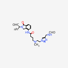 CCCC(C=O)N1Cc2c(NC(=O)CCCN(C)CCn3cc(CNC=O)nn3)cccc2C1=O